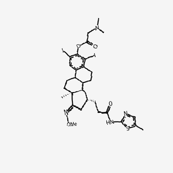 CON=C1C[C@@H](CCC(=O)Nc2ncc(C)s2)C2C3CCc4c(cc(I)c(OC(=O)CN(C)C)c4I)C3CC[C@]12C